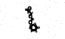 c1ccc(OCOC[C@@H]2CO2)cc1